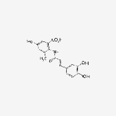 Cc1cc(O)cc(C(=O)O)c1NC(=O)C=Cc1ccc(O)c(O)c1